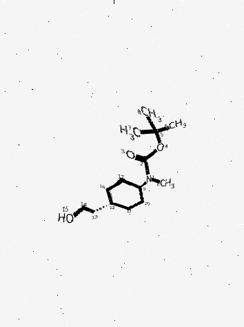 CN(C(=O)OC(C)(C)C)[C@H]1CC[C@H](CCO)CC1